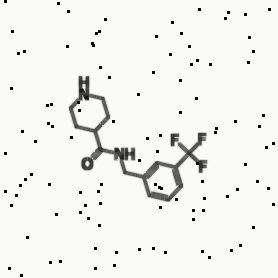 O=C(NCc1cccc(C(F)(F)F)c1)C1CCNCC1